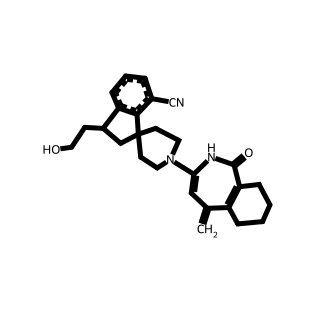 C=C1C=C(N2CCC3(CC2)CC(CCO)c2cccc(C#N)c23)NC(=O)C2=C1CCCC2